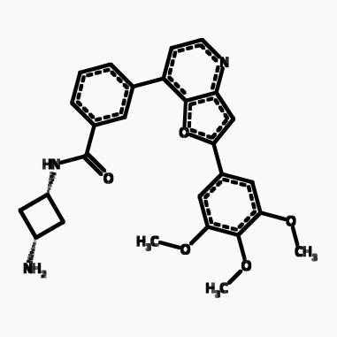 COc1cc(-c2cc3nccc(-c4cccc(C(=O)N[C@H]5C[C@@H](N)C5)c4)c3o2)cc(OC)c1OC